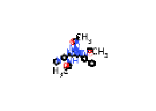 Cc1coc(C2=NC3=NC(c4ccc(N5CCCCC5)cc4Nc4ccc(C)o4)=CC4=CC(c5ccc(C6CCCCC6)cc5Nc5ccc(C)o5)=NC(=N2)N43)n1